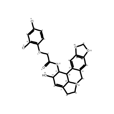 O=C(COc1ccc(Cl)cc1Cl)OC1C(O)C=C2CCN3Cc4cc5c(cc4C1C23)OCO5